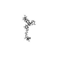 C[C@@H](CCOCCOc1cccc(-c2nn(C3CCCCO3)c3ccc(O[Si](C)(C)C(C)(C)C)cc23)n1)OS(C)(=O)=O